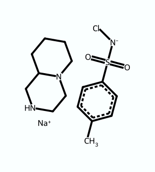 C1CCN2CCNCC2C1.Cc1ccc(S(=O)(=O)[N-]Cl)cc1.[Na+]